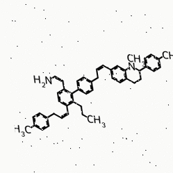 CCCc1c(/C=C\Cc2ccc(C)cc2)ccc(/C=C\N)c1-c1ccc(C/C=C\c2ccc3c(c2)N(C)C(c2ccc(C)cc2)CC3)cc1